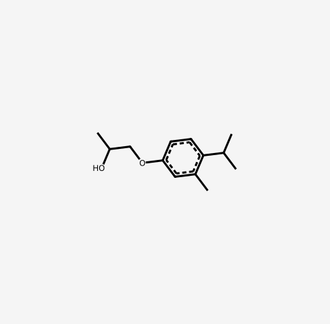 Cc1cc(OCC(C)O)ccc1C(C)C